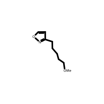 COCCCCCc1ccon1